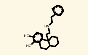 Oc1ccc2c(c1O)CCC1CCCCC21CCNCCc1ccccc1